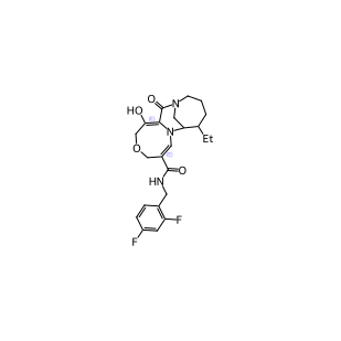 CCC1CCCN2CC1N1/C=C(/C(=O)NCc3ccc(F)cc3F)COC/C(O)=C\1C2=O